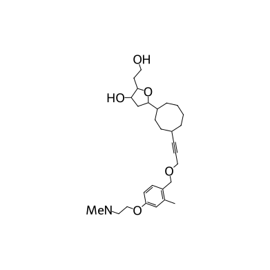 CNCCOc1ccc(COCC#CC2CCCCC(C3CC(O)C(CCO)O3)CC2)c(C)c1